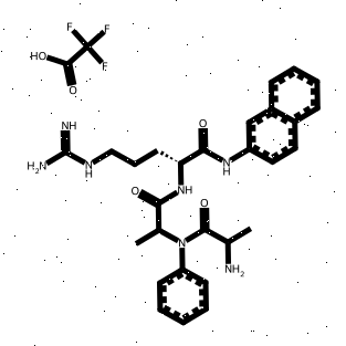 CC(N)C(=O)N(c1ccccc1)C(C)C(=O)N[C@H](CCCNC(=N)N)C(=O)Nc1ccc2ccccc2c1.O=C(O)C(F)(F)F